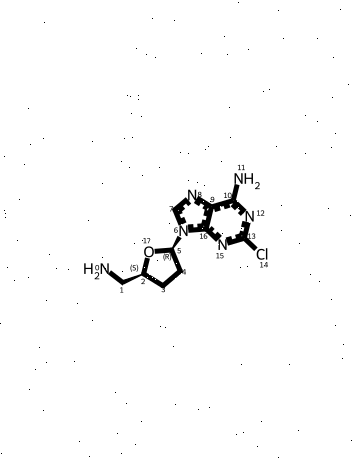 NC[C@@H]1CC[C@H](n2cnc3c(N)nc(Cl)nc32)O1